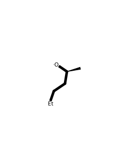 CCCC[C@H](C)[O]